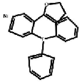 [Ni].c1ccc(P(c2ccccc2)c2ccccc2C2=NCCO2)cc1